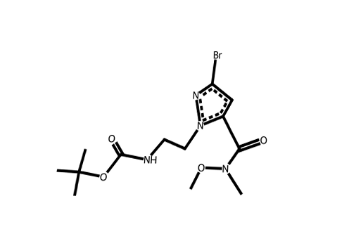 CON(C)C(=O)c1cc(Br)nn1CCNC(=O)OC(C)(C)C